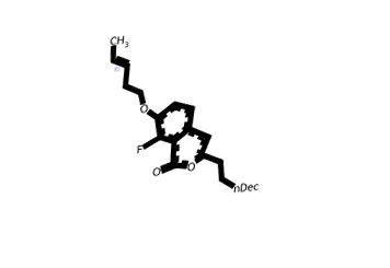 C/C=C/CCOc1ccc2cc(CCCCCCCCCCCC)oc(=O)c2c1F